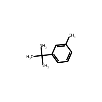 Cc1cccc(C(C)(N)N)c1